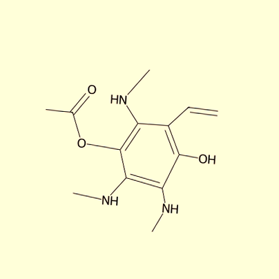 C=Cc1c(O)c(NC)c(NC)c(OC(C)=O)c1NC